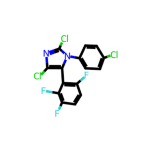 Fc1ccc(F)c(-c2c(Cl)nc(Cl)n2-c2ccc(Cl)cc2)c1F